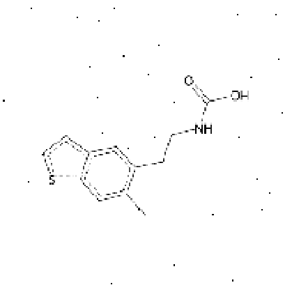 Cc1cc2sccc2cc1CCNC(=O)O